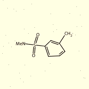 [CH2]c1cccc(S(=O)(=O)NC)c1